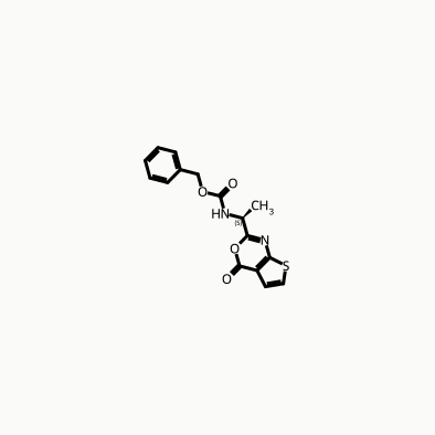 C[C@H](NC(=O)OCc1ccccc1)c1nc2sccc2c(=O)o1